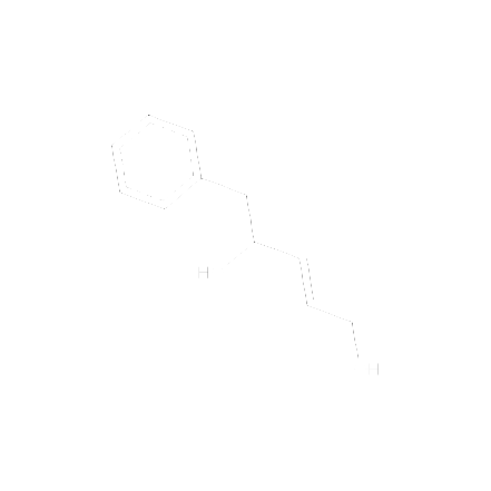 OCC=CC(O)Cc1ccccc1